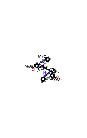 COC(=O)c1ccc2c(c1)C(C)(C)C(/C=C/C=C/C=C1/N(CC(=O)Nc3ccccc3OC)c3ccc(C(=O)OC)cc3C1(C)C)=[N+]2CC(=O)Nc1ccccc1OC